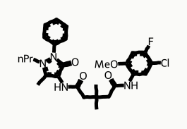 CCCn1c(C)c(NC(=O)CC(C)(C)CC(=O)Nc2cc(Cl)c(F)cc2OC)c(=O)n1-c1ccccc1